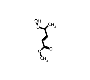 COC(=O)C=CC(C)OO